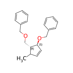 CC1C=C[C@H](OCc2ccccc2)[C@H]1COCc1ccccc1